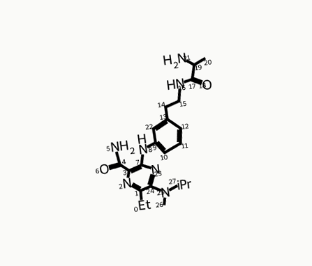 CCc1nc(C(N)=O)c(Nc2cccc(CCNC(=O)C(C)N)c2)nc1N(C)C(C)C